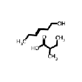 CCC(C)C(=O)O.CCC=CCCO